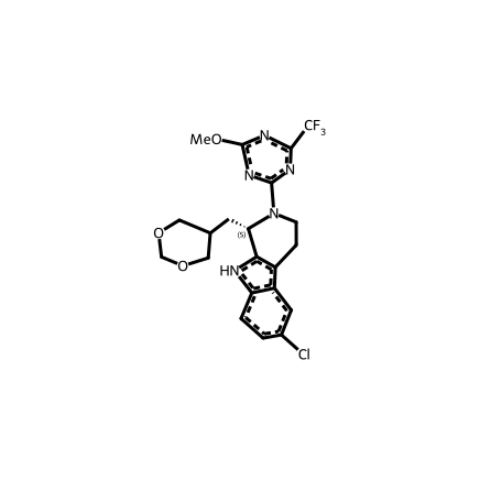 COc1nc(N2CCc3c([nH]c4ccc(Cl)cc34)[C@@H]2CC2COCOC2)nc(C(F)(F)F)n1